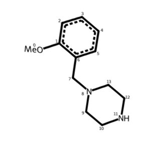 COc1ccccc1CN1CCNCC1